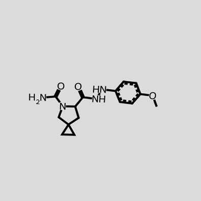 COc1ccc(NNC(=O)C2CC3(CC3)CN2C(N)=O)cc1